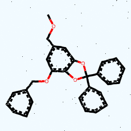 COCc1cc(OCc2ccccc2)c2c(c1)OC(c1ccccc1)(c1ccccc1)O2